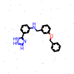 c1ccc(COc2cccc(CNc3cccc(C4=NNNN4)c3)c2)cc1